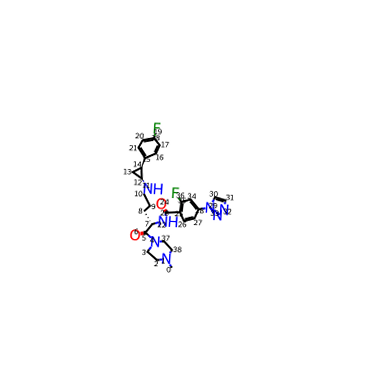 CN1CCN(C(=O)[C@H](CCCN[C@@H]2C[C@H]2c2ccc(F)cc2)NC(=O)c2ccc(-n3ccnn3)cc2F)CC1